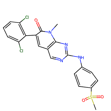 Cn1c(=O)c(-c2c(Cl)cccc2Cl)cc2cnc(Nc3ccc(S(C)(=O)=O)cc3)nc21